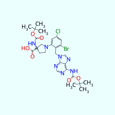 CC(C)(C)OC(=O)Nc1ncnc2c1ncn2Cc1c(Br)cc(Cl)cc1N1CC[C@](NC(=O)OC(C)(C)C)(C(=O)O)C1